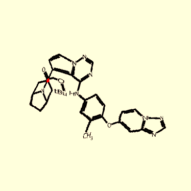 Cc1cc(Nc2ncnn3ccc(C4CC5CCC(C4)N5C(=O)OC(C)(C)C)c23)ccc1Oc1ccn2ncnc2c1